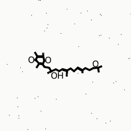 CC1=C(C)C(=O)C(CCC(C)(O)CC/C=C(\C)CC/C=C(\C)CCC2OC2(C)C)=C(C)C1=O